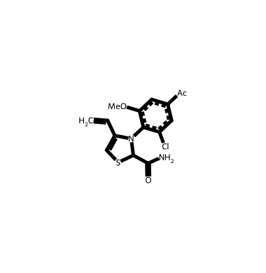 C=CC1=CSC(C(N)=O)N1c1c(Cl)cc(C(C)=O)cc1OC